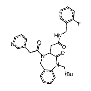 CC(C)(C)CN1C(=O)C(CC(=O)NCc2ccccc2F)N(C(=O)Cc2cccnc2)Cc2ccccc21